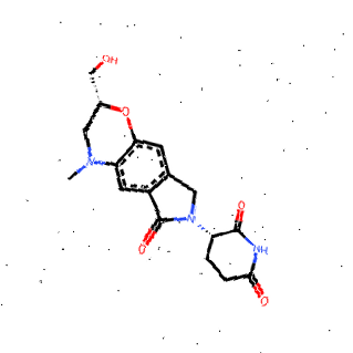 CN1C[C@H](CO)Oc2cc3c(cc21)C(=O)N([C@H]1CCC(=O)NC1=O)C3